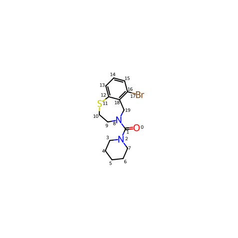 O=C(N1CCCCC1)N1CCSc2cccc(Br)c2C1